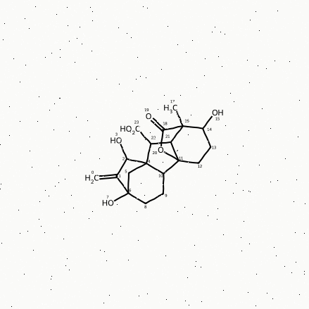 C=C1C(O)C23CC1(O)CCC2C12CCC(O)C(C)(C(=O)O1)C2C3C(=O)O